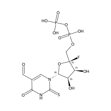 O=Cc1cn([C@@H]2O[C@](F)(COP(=O)(O)OP(=O)(O)O)[C@@H](O)[C@H]2O)c(=S)[nH]c1=O